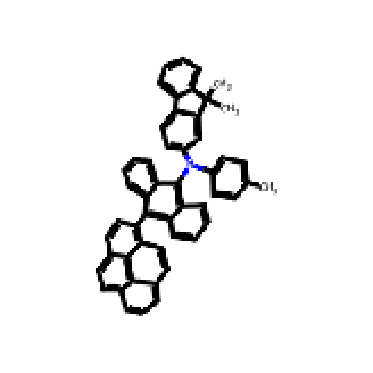 Cc1ccc(N(c2ccc3c(c2)C(C)(C)c2ccccc2-3)c2c3ccccc3c(-c3ccc4ccc5cccc6ccc3c4c56)c3ccccc23)cc1